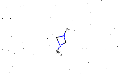 BN1CN(C(C)C)C1